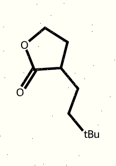 CC(C)(C)CCC1CCOC1=O